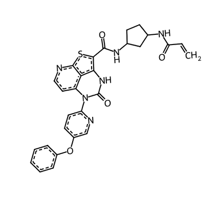 C=CC(=O)NC1CCC(NC(=O)c2sc3nccc4c3c2NC(=O)N4c2ccc(Oc3ccccc3)cn2)C1